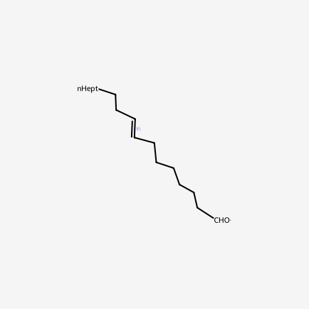 CCCCCCCCC/C=C/CCCCCC[C]=O